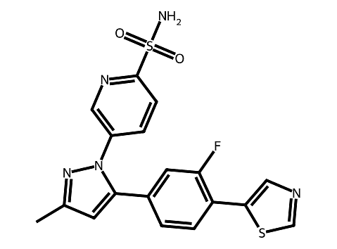 Cc1cc(-c2ccc(-c3cncs3)c(F)c2)n(-c2ccc(S(N)(=O)=O)nc2)n1